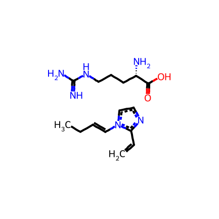 C=Cc1nccn1C=CCC.N=C(N)NCCC[C@H](N)C(=O)O